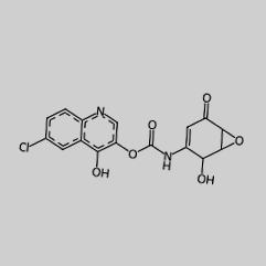 O=C(NC1=CC(=O)C2OC2C1O)Oc1cnc2ccc(Cl)cc2c1O